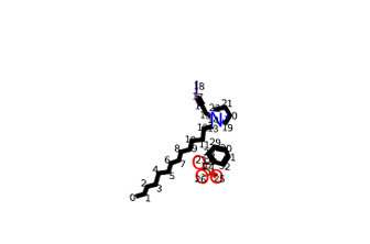 CCCCCCCCCCCCCC[N+]1(CC#CI)CCCC1.O=S(=O)([O-])c1ccccc1